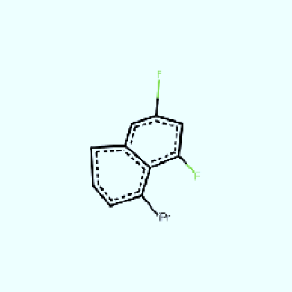 CC(C)c1cccc2cc(F)cc(F)c12